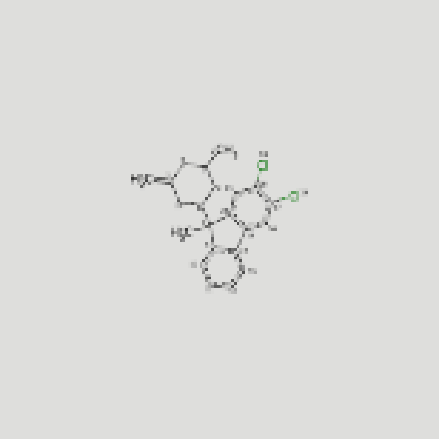 C=C1CC(C)CC(C2(C)c3ccccc3-c3cc(Cl)c(Cl)cc32)C1